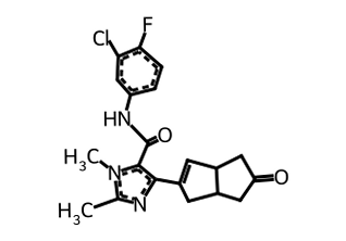 Cc1nc(C2=CC3CC(=O)CC3C2)c(C(=O)Nc2ccc(F)c(Cl)c2)n1C